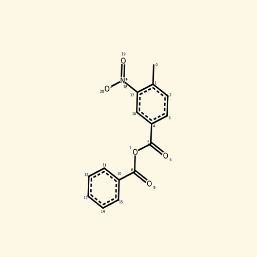 Cc1ccc(C(=O)OC(=O)c2ccccc2)cc1[N+](=O)[O-]